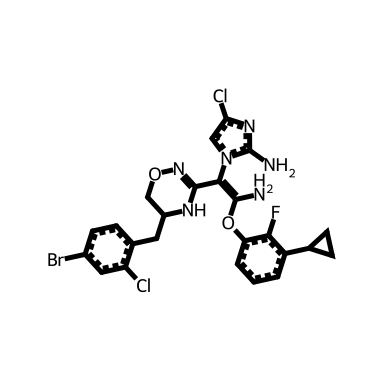 N/C(Oc1cccc(C2CC2)c1F)=C(/C1=NOCC(Cc2ccc(Br)cc2Cl)N1)n1cc(Cl)nc1N